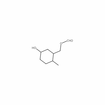 CC1CCC(O)CC1COC=O